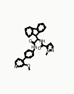 COc1cnccc1-c1ccc(NC(=O)C(NC(=O)c2ccnn2C)C2c3ccccc3-c3ccccc32)cc1